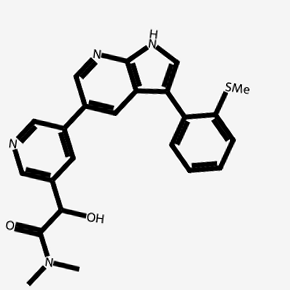 CSc1ccccc1-c1c[nH]c2ncc(-c3cncc(C(O)C(=O)N(C)C)c3)cc12